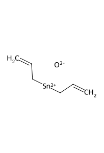 C=C[CH2][Sn+2][CH2]C=C.[O-2]